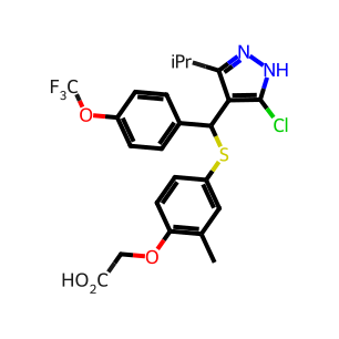 Cc1cc(SC(c2ccc(OC(F)(F)F)cc2)c2c(C(C)C)n[nH]c2Cl)ccc1OCC(=O)O